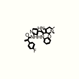 C=C(C(=O)Nc1cc(-c2[nH]c3c(c2Nc2ccccc2)C(=O)N(C)[C@H](C)C3)ccn1)c1ccc(F)cc1